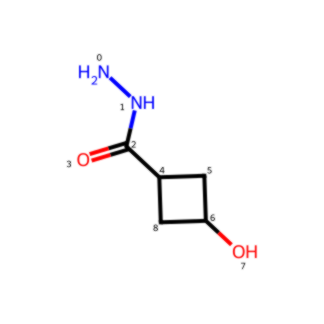 NNC(=O)C1CC(O)C1